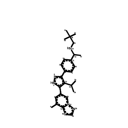 Cc1cc(-c2[nH]nc(-c3ccc(C(C)NCC(C)(C)C)cc3)c2C(C)C)cn2ncnc12